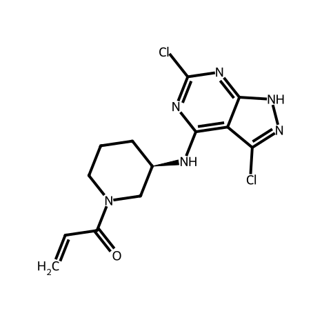 C=CC(=O)N1CCC[C@@H](Nc2nc(Cl)nc3[nH]nc(Cl)c23)C1